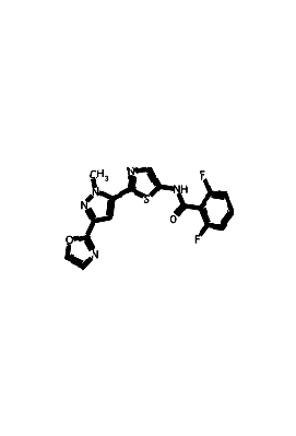 Cn1nc(-c2ncco2)cc1-c1ncc(NC(=O)c2c(F)cccc2F)s1